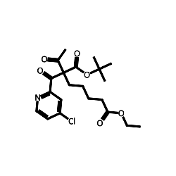 CCOC(=O)CCCCC(C(C)=O)(C(=O)OC(C)(C)C)C(=O)c1cc(Cl)ccn1